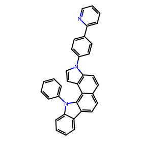 c1ccc(-n2c3ccccc3c3ccc4ccc5c(ccn5-c5ccc(-c6ccccn6)cc5)c4c32)cc1